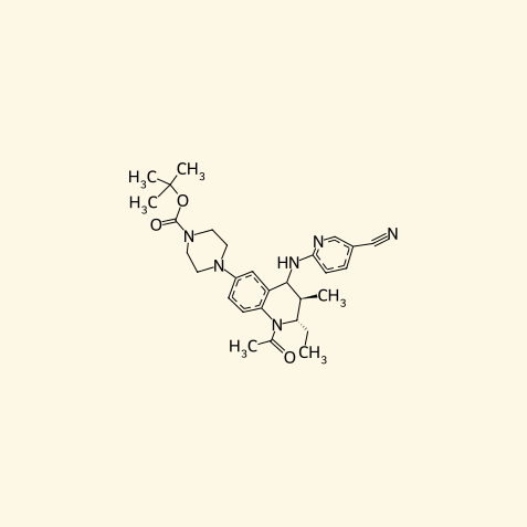 CC[C@H]1[C@H](C)C(Nc2ccc(C#N)cn2)c2cc(N3CCN(C(=O)OC(C)(C)C)CC3)ccc2N1C(C)=O